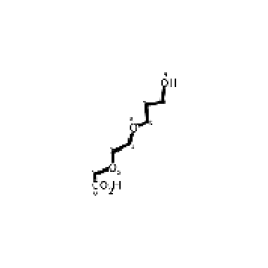 O=C(O)COCCOCCCO